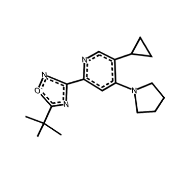 CC(C)(C)c1nc(-c2cc(N3CCCC3)c(C3CC3)cn2)no1